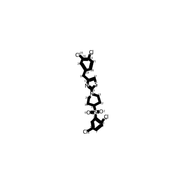 O=S(=O)(c1cc(Cl)ccc1Cl)C1CCN(c2nc(Cc3ccc(Cl)c(Cl)c3)cs2)CC1